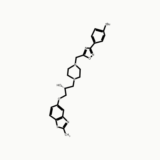 Cc1nc2cc(OC[C@H](O)CN3CCN(Cc4nc(-c5ccc(C(C)(C)C)cc5)no4)CC3)ccc2s1